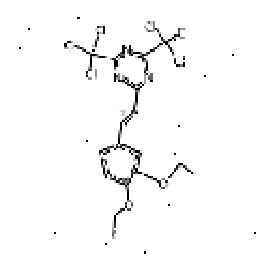 CCOc1ccc(/C=C/c2nc(C(Cl)(Cl)Cl)nc(C(Cl)(Cl)Cl)n2)cc1OCC